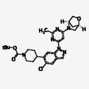 Cc1nc(N2C[C@H]3C[C@@H]2CO3)cc(-n2ncc3cc(Cl)c(C4CCN(C(=O)OC(C)(C)C)CC4)cc32)n1